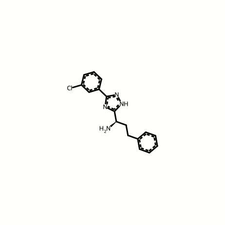 N[C@H](CCc1ccccc1)c1nc(-c2cccc(Cl)c2)n[nH]1